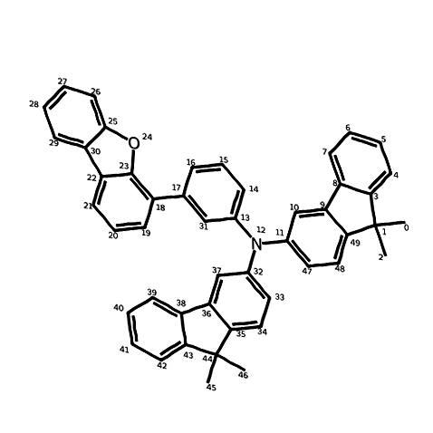 CC1(C)c2ccccc2-c2cc(N(c3cccc(-c4cccc5c4oc4ccccc45)c3)c3ccc4c(c3)-c3ccccc3C4(C)C)ccc21